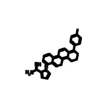 Cc1ccc(C2=c3ccc4c(c3CCC2)CC=c2c([SH]3C=CC=C3C(=N)N)cccc2=4)cc1